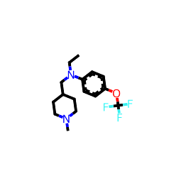 CCN(CC1CCN(C)CC1)c1ccc(OC(F)(F)F)cc1